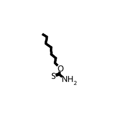 CCCCCCCOC(N)=S